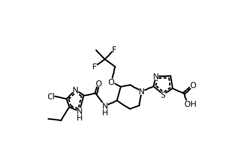 CCc1[nH]c(C(=O)NC2CCN(c3ncc(C(=O)O)s3)CC2OCC(C)(F)F)nc1Cl